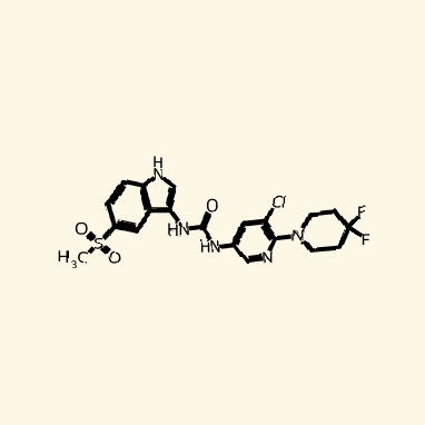 CS(=O)(=O)c1ccc2[nH]cc(NC(=O)Nc3cnc(N4CCC(F)(F)CC4)c(Cl)c3)c2c1